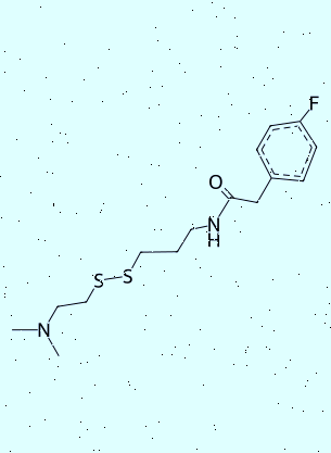 CN(C)CCSSCCCNC(=O)Cc1ccc(F)cc1